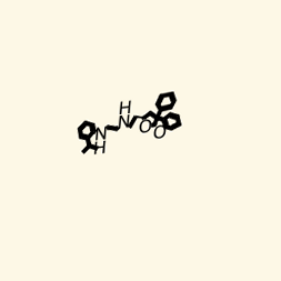 CC(C)c1ccccc1NCCNCC[C@H]1CC(c2ccccc2)(c2ccccc2)C(=O)O1